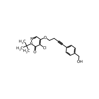 CC(C)(C)n1ncc(OCCC#Cc2ccc(CO)cc2)c(Cl)c1=O